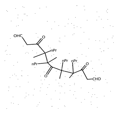 CCCC(C)(C(=O)CC=O)C(C)(CCC)C(=O)C(C)(CCC)C(C)(CCC)C(=O)CC=O